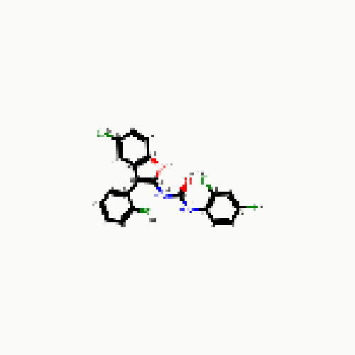 O=C(Nc1ccc(F)cc1F)Nc1oc2ccc(Cl)cc2c1-c1ccccc1Cl